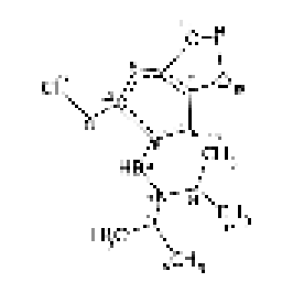 CC(C)N(Bc1cc2c(cc1CCl)OCO2)C(C)C